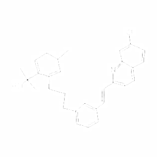 CC1C=C(CCCc2cccc(/C=C/c3ccc4ccc(Cl)cc4n3)c2)C(C(C)(C)O)=CC1